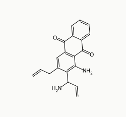 C=CCc1cc2c(c(N)c1C(N)C=C)C(=O)c1ccccc1C2=O